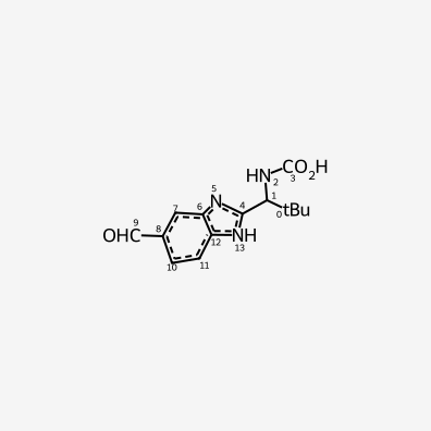 CC(C)(C)C(NC(=O)O)c1nc2cc(C=O)ccc2[nH]1